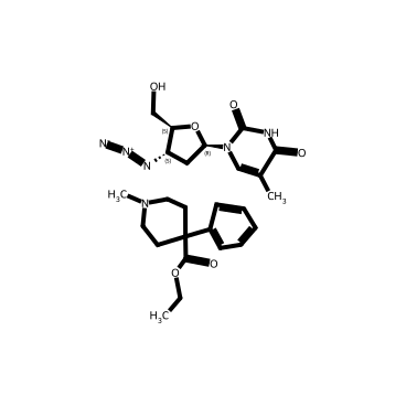 CCOC(=O)C1(c2ccccc2)CCN(C)CC1.Cc1cn([C@H]2C[C@H](N=[N+]=[N-])[C@@H](CO)O2)c(=O)[nH]c1=O